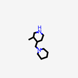 CC1CNCCC1CN1CCCCC1